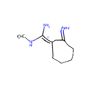 N=C1CCCC/C1=C(/N)NC=O